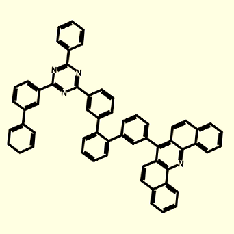 C1=CC(c2cccc(-c3nc(-c4ccccc4)nc(-c4cccc(-c5ccccc5-c5cccc(-c6c7ccc8ccccc8c7nc7c6ccc6ccccc67)c5)c4)n3)c2)=CCC1